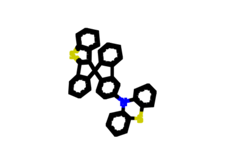 c1ccc2c(c1)Sc1ccccc1N2c1ccc2c(c1)-c1ccccc1C21c2ccccc2-c2sc3ccccc3c21